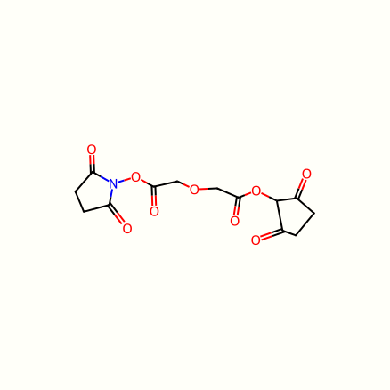 O=C(COCC(=O)ON1C(=O)CCC1=O)OC1C(=O)CCC1=O